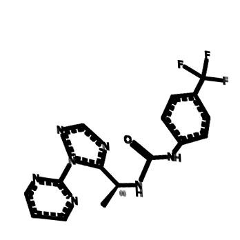 C[C@H](NC(=O)Nc1ccc(C(F)(F)F)cc1)c1ncnn1-c1ncccn1